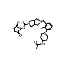 CC(=O)NC1CCN(c2cccc(CN3CC4CN(C(=O)ON5C(=O)CCC5=O)CC4C3)c2C)CC1